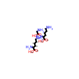 NCC(=O)O.NCCCC[C@H](N)C(=O)O.NCCCC[C@H](N)C(=O)O